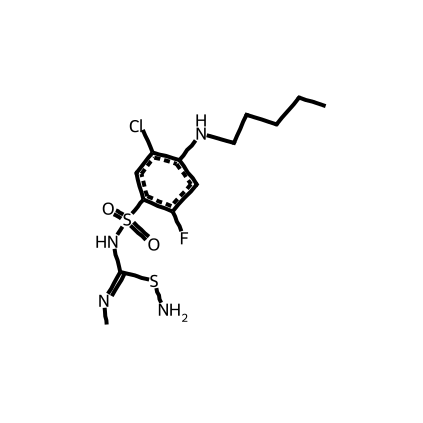 CCCCCNc1cc(F)c(S(=O)(=O)N/C(=N/C)SN)cc1Cl